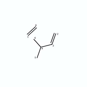 C=C.C=CC(C)C